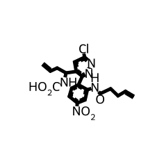 C=CCCC(=O)Nc1cc([N+](=O)[O-])ccc1-c1nnc(Cl)cc1C(CC=C)NC(=O)O